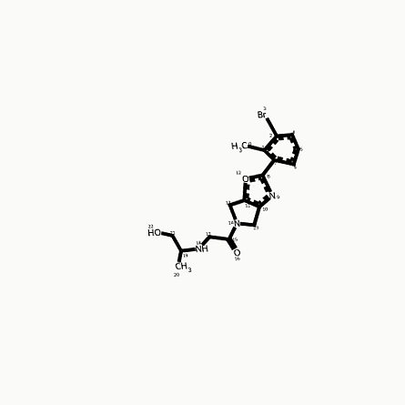 Cc1c(Br)cccc1-c1nc2c(o1)CN(C(=O)CNC(C)CO)C2